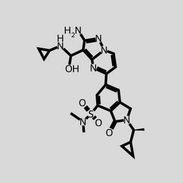 C[C@@H](C1CC1)N1Cc2cc(-c3ccn4nc(N)c(C(O)NC5CC5)c4n3)cc(S(=O)(=O)N(C)C)c2C1=O